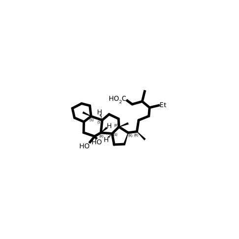 CCC(CC[C@@H](C)[C@H]1CC[C@H]2[C@H]3[C@H](CC[C@]12C)[C@@]1(C)CCCCC1CC3(O)O)C(C)CC(=O)O